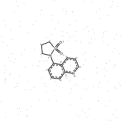 O=S1(=O)CCCN1c1cccc2ncccc12